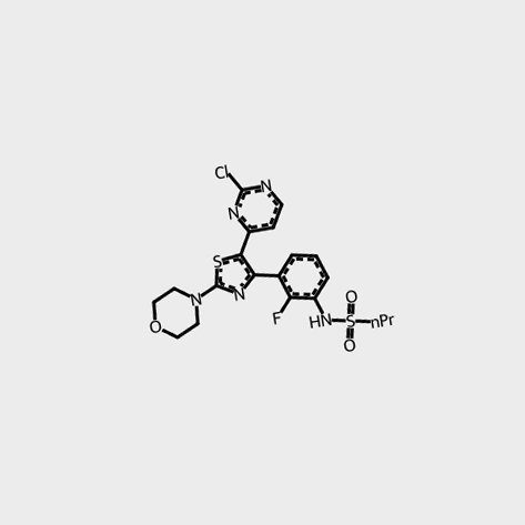 CCCS(=O)(=O)Nc1cccc(-c2nc(N3CCOCC3)sc2-c2ccnc(Cl)n2)c1F